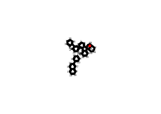 c1ccc2c(c1)-c1c(N(c3ccc(-c4ccc5ccccc5c4)cc3)c3ccc4c(c3)sc3ccccc34)cccc1C21C2CCC3CC(C2)CC1C3